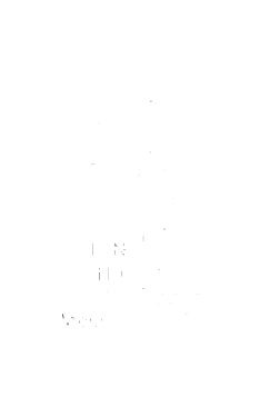 CCOC(=O)C(C)(CCOC)C[C@H](N)Cc1ccc(-c2cc(Cl)ccc2F)cc1